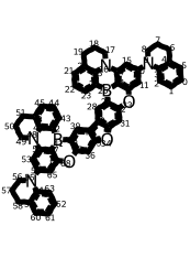 c1ccc2c(c1)CCCN2c1cc2c3c(c1)N1CCCc4cccc(c41)B3c1cc3c(cc1O2)oc1cc2c(cc13)B1c3cccc4c3N(CCC4)c3cc(N4CCCc5ccccc54)cc(c31)O2